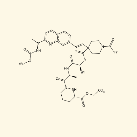 CC(C)C(=O)N1CCC(/C=C/c2ccc3ccc(N(C)NC(=O)OC(C)(C)C)nc3c2)(C(=O)O[C@H](C(=O)N[C@@H](C)C(=O)N2CCC[C@@H](C(=O)OCC(Cl)(Cl)Cl)N2)C(C)C)CC1